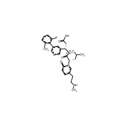 CNCCc1ccc(=O)n([C@@H](CC(C)C)C(=O)N[C@@H](CC(=O)O)c2cncc(-c3c(C)cccc3F)c2)c1